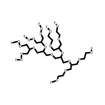 FOCCOCC(COCCOF)OCC(COCC(COC(COOF)COOF)OC(COOF)COOF)OC(COCCOF)COCCOF